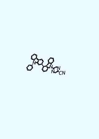 N#Cc1cnc(-n2c3ccccc3c3c(-c4ccc5c6ccccc6n(-c6ccccc6)c5c4)cccc32)cn1